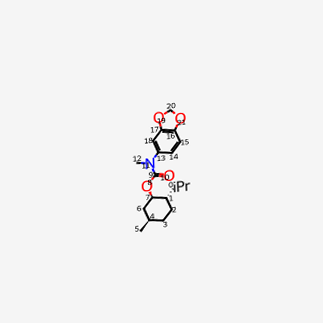 CC(C)[C@@H]1CC[C@@H](C)C[C@H]1OC(=O)N(C)c1ccc2c(c1)OCO2